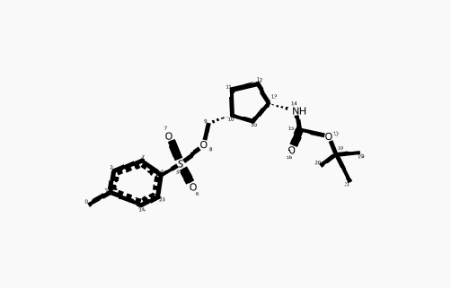 Cc1ccc(S(=O)(=O)OC[C@@H]2CC[C@H](NC(=O)OC(C)(C)C)C2)cc1